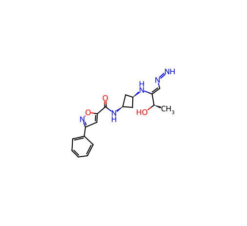 C[C@@H](O)/C(=C/N=N)N[C@H]1C[C@@H](NC(=O)c2cc(-c3ccccc3)no2)C1